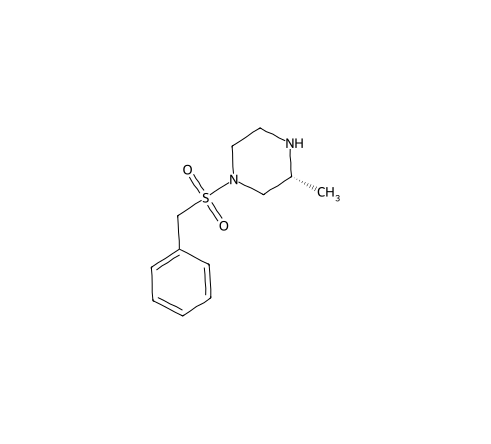 C[C@@H]1CN(S(=O)(=O)Cc2ccccc2)CCN1